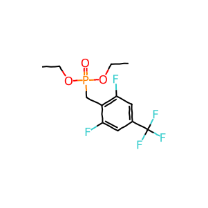 CCOP(=O)(Cc1c(F)cc(C(F)(F)F)cc1F)OCC